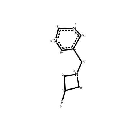 FC1CN(Cc2cncnc2)C1